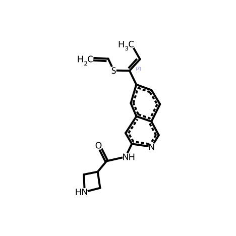 C=CS/C(=C\C)c1ccc2cnc(NC(=O)C3CNC3)cc2c1